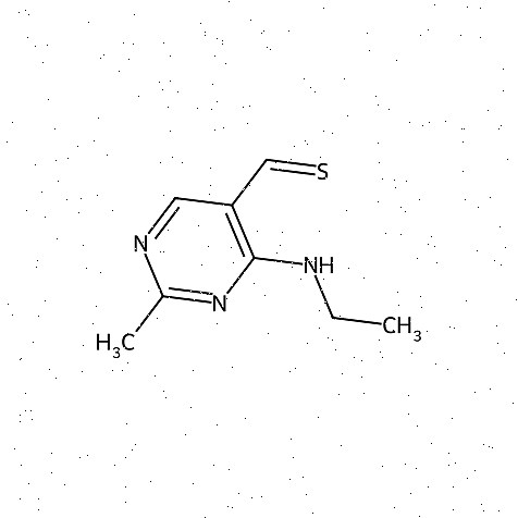 CCNc1nc(C)ncc1C=S